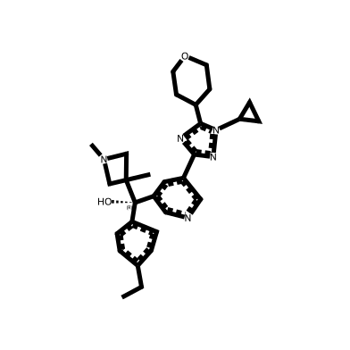 CCc1ccc([C@](O)(c2cncc(-c3nc(C4CCOCC4)n(C4CC4)n3)c2)C2(C)CN(C)C2)cc1